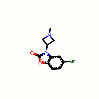 CN1CC(n2c(=O)oc3ccc(Br)cc32)C1